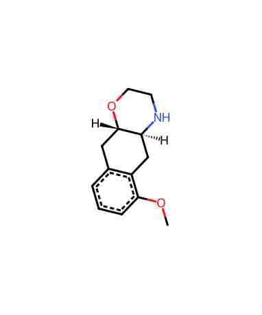 COc1cccc2c1C[C@@H]1NCCO[C@H]1C2